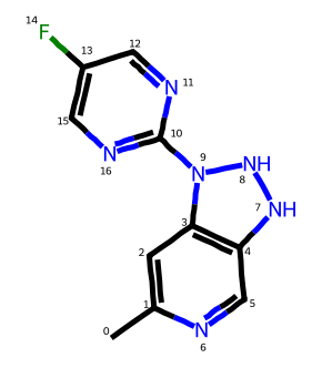 Cc1cc2c(cn1)NNN2c1ncc(F)cn1